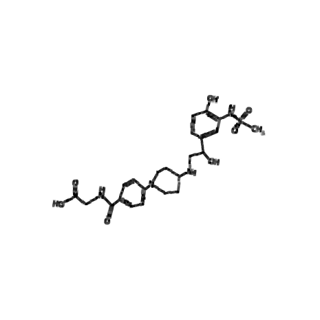 CS(=O)(=O)Nc1cc(C(O)CNC2CCN(c3ccc(C(=O)NCC(=O)O)cc3)CC2)ccc1O